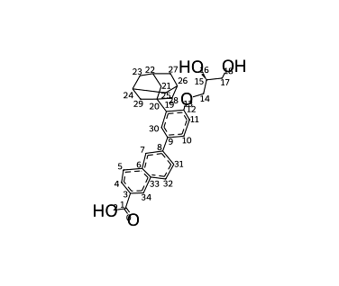 O=C(O)c1ccc2cc(-c3ccc(OC[C@@H](O)CO)c(C45CC6CC(CC(C6)C4)C5)c3)ccc2c1